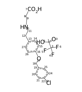 O=C(O)C(F)(F)F.O=C(O)CCNCCc1ccc(OCc2ccc(Cl)cc2)cc1